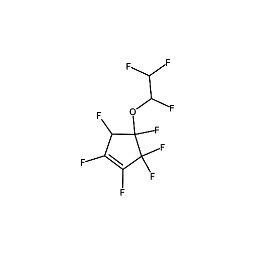 FC1=C(F)C(F)(F)C(F)(OC(F)C(F)F)C1F